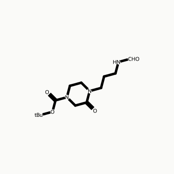 CC(C)(C)OC(=O)N1CCN(CCCNC=O)C(=O)C1